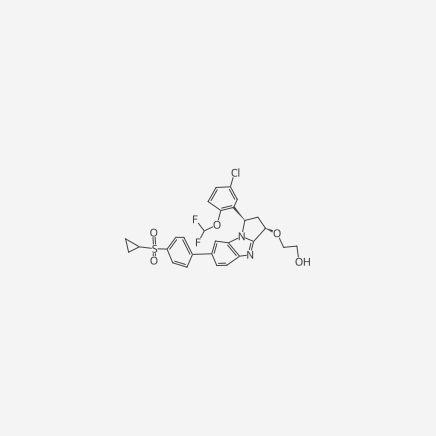 O=S(=O)(c1ccc(-c2ccc3nc4n(c3c2)[C@@H](c2cc(Cl)ccc2OC(F)F)C[C@H]4OCCO)cc1)C1CC1